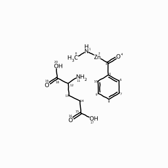 C[NH][Zn][C](=O)c1ccccc1.NC(CCC(=O)O)C(=O)O